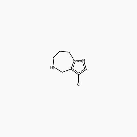 Clc1cnn2c1CNCCC2